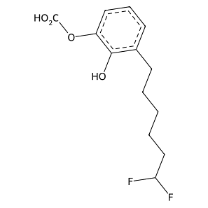 O=C(O)Oc1cccc(CCCCCC(F)F)c1O